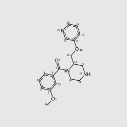 COc1cccc(C(=O)N2CCNCC2COc2cccnc2)c1